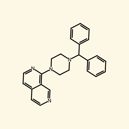 c1ccc(C(c2ccccc2)N2CCN(c3nccc4ccncc34)CC2)cc1